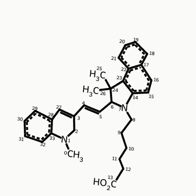 CN1CC(C=CC2N(CCCCCC(=O)O)c3ccc4ccccc4c3C2(C)C)=Cc2ccccc21